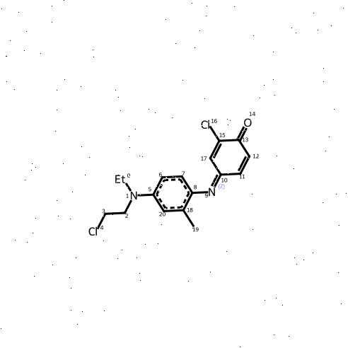 CCN(CCCl)c1ccc(/N=C2/C=CC(=O)C(Cl)=C2)c(C)c1